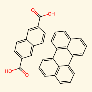 O=C(O)c1ccc2cc(C(=O)O)ccc2c1.c1cc2cccc3c4cccc5cccc(c(c1)c23)c54